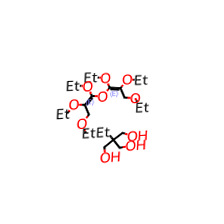 CCC(CO)(CO)CO.CCOC/C(OCC)=C(/OCC)O/C(OCC)=C(\COCC)OCC